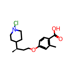 Cc1cc(OCC[C@@H](C)C2CCN(Cl)CC2)ccc1C(=O)O